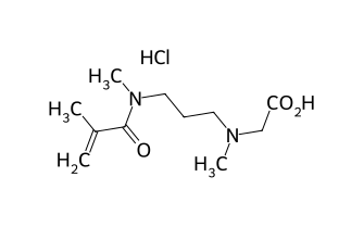 C=C(C)C(=O)N(C)CCCN(C)CC(=O)O.Cl